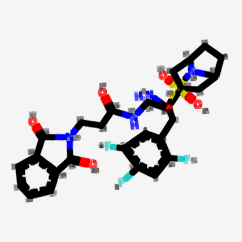 N[C@H](Cc1cc(F)c(F)cc1F)C1CC2CCC(C1)N2S(=O)(=O)CCNC(=O)CCN1C(=O)c2ccccc2C1=O